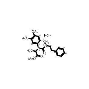 COC(=O)C(C)N(C(=O)N(C)CCc1ccccc1)c1ccc(OC(C)=O)c(OC(C)=O)c1.Cl